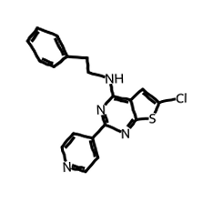 Clc1cc2c(NCCc3ccccc3)nc(-c3ccncc3)nc2s1